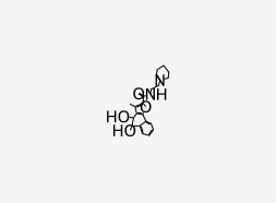 Cc1c(C(=O)NCCN2CCCCC2)oc2c1C(O)C(O)c1ccccc1-2